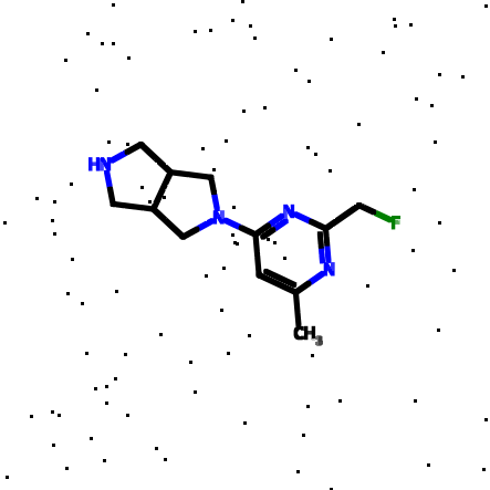 Cc1cc(N2CC3CNCC3C2)nc(CF)n1